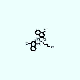 OCCCOP(Oc1c(Cl)cc(Cl)c2ccccc12)Oc1c(Cl)cc(Cl)c2ccccc12